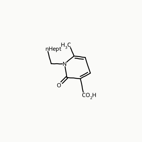 CCCCCCCCn1c(C)ccc(C(=O)O)c1=O